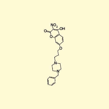 O=c1oc2cc(OCCCN3CCN(Cc4ccccc4)CC3)ccc2c(O)c1[N+](=O)[O-]